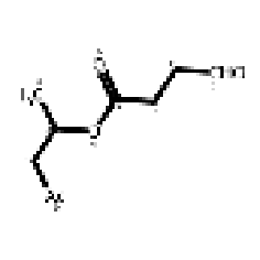 CC(=O)CC(C)OC(=O)CCC=O